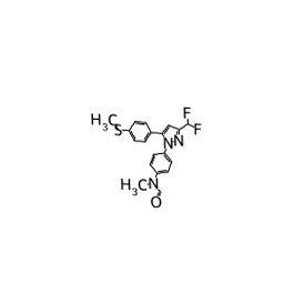 CSc1ccc(-c2cc(C(F)F)nn2-c2ccc(N(C)C=O)cc2)cc1